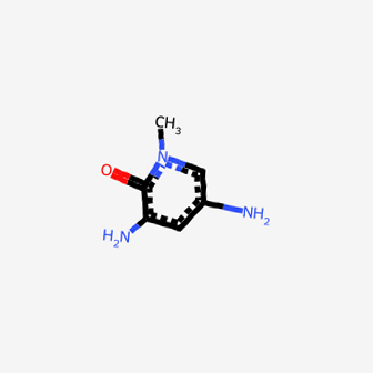 Cn1cc(N)cc(N)c1=O